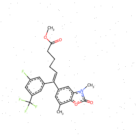 COC(=O)CCCC=C(c1cc(F)cc(C(F)(F)F)c1)c1cc(C)c2oc(=O)n(C)c2c1